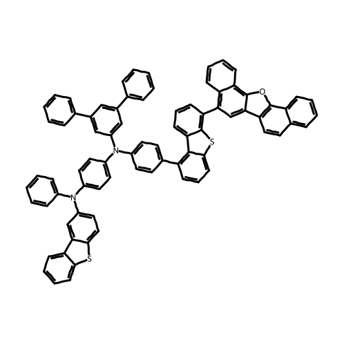 c1ccc(-c2cc(-c3ccccc3)cc(N(c3ccc(-c4cccc5sc6c(-c7cc8c9ccc%10ccccc%10c9oc8c8ccccc78)cccc6c45)cc3)c3ccc(N(c4ccccc4)c4ccc5sc6ccccc6c5c4)cc3)c2)cc1